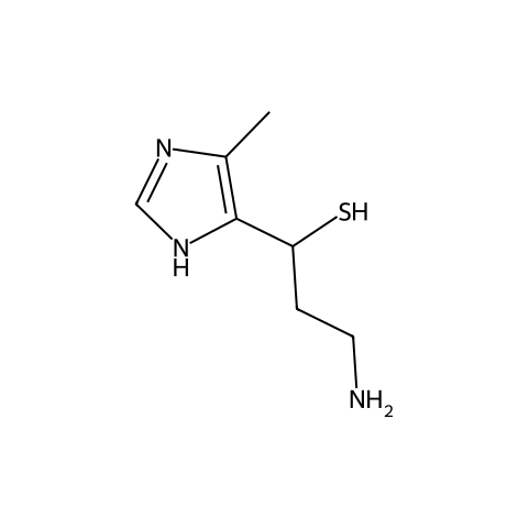 Cc1nc[nH]c1C(S)CCN